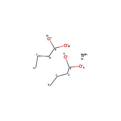 CCCC([O-])[O-].CCCC([O-])[O-].[Ti+4]